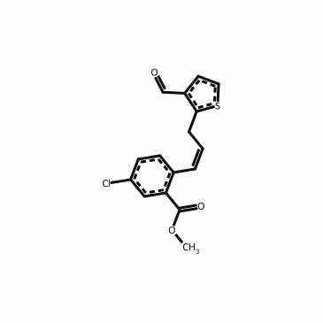 COC(=O)c1cc(Cl)ccc1/C=C\Cc1sccc1C=O